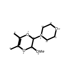 COC1OC(C)=C(C)OC1N1CCOCC1